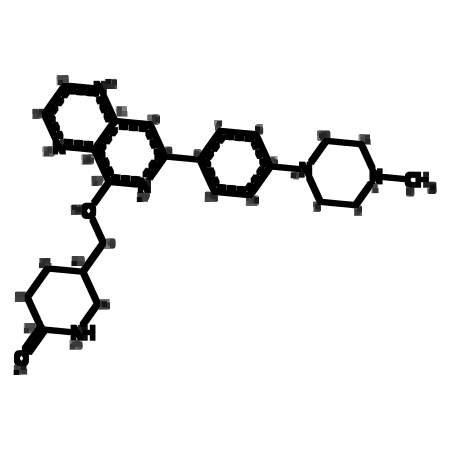 CN1CCN(c2ccc(-c3cc4nccnc4c(OCC4CCC(=O)NC4)n3)cc2)CC1